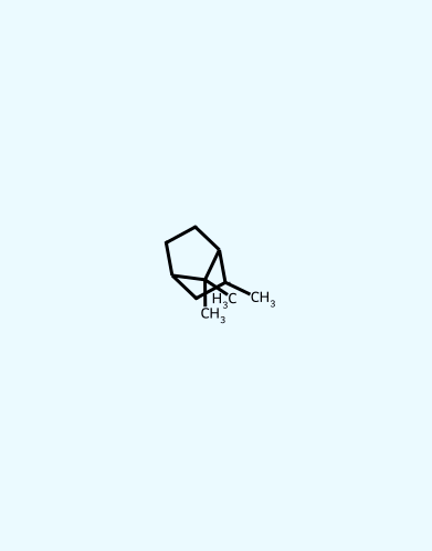 C[C]1CC2CCC1C2(C)C